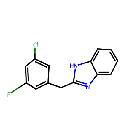 Fc1cc(Cl)cc(Cc2nc3ccccc3[nH]2)c1